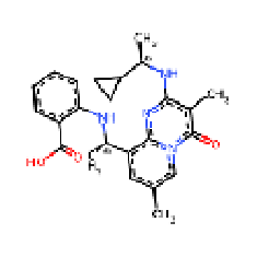 Cc1cc([C@@H](C)Nc2ccccc2C(=O)O)c2nc(N[C@H](C)C3CC3)c(C)c(=O)n2c1